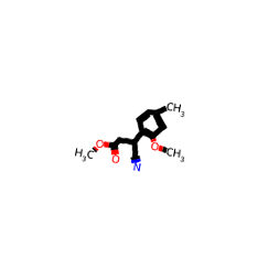 COC(=O)CC(C#N)c1ccc(C)cc1OC